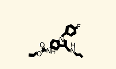 C=CCOC(=O)Nc1ccc2c(c1)c(CNCCC)cn2Cc1ccc(F)cc1